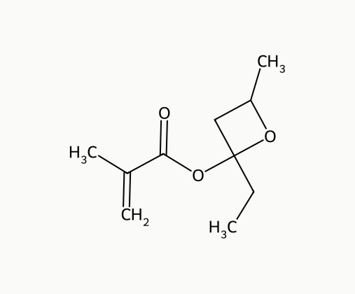 C=C(C)C(=O)OC1(CC)CC(C)O1